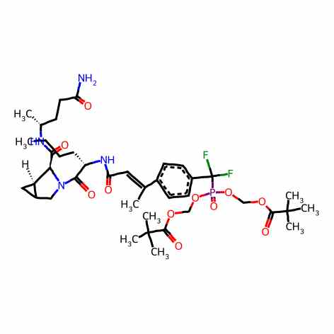 CCCC[C@H](NC(=O)/C=C(\C)c1ccc(C(F)(F)P(=O)(OCOC(=O)C(C)(C)C)OCOC(=O)C(C)(C)C)cc1)C(=O)N1CC2C[C@H]2[C@H]1C(=O)N[C@H](C)CCC(N)=O